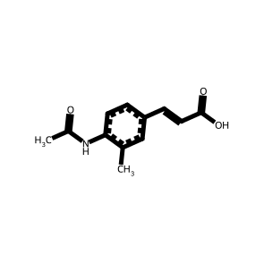 CC(=O)Nc1ccc(C=CC(=O)O)cc1C